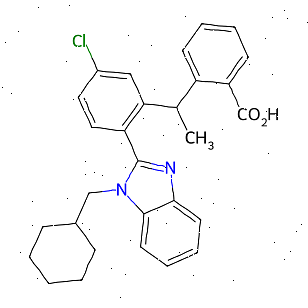 CC(c1ccccc1C(=O)O)c1cc(Cl)ccc1-c1nc2ccccc2n1CC1CCCCC1